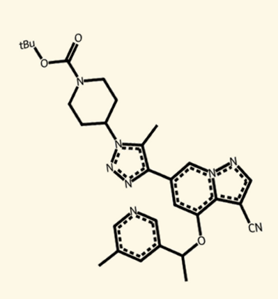 Cc1cncc(C(C)Oc2cc(-c3nnn(C4CCN(C(=O)OC(C)(C)C)CC4)c3C)cn3ncc(C#N)c23)c1